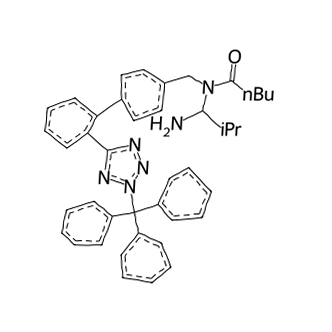 CCCCC(=O)N(Cc1ccc(-c2ccccc2-c2nnn(C(c3ccccc3)(c3ccccc3)c3ccccc3)n2)cc1)C(N)C(C)C